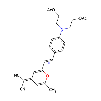 CC(=O)OCCN(CCOC(C)=O)c1ccc(/C=C/C2=CC(=C(C#N)C#N)C=C(C)O2)cc1